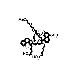 COCCOCCOCCOCCC1(C)/C(=C\C=C\C2=[N+](CCOC)c3ccc4ccccc4c3C2(C)CCCS(=O)(=O)O)N(CCCCCC(=O)O)c2ccc3c(S(=O)(=O)O)cc(S(=O)(=O)O)cc3c21